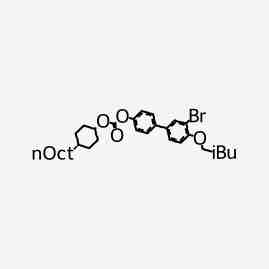 CCCCCCCC[C@H]1CC[C@H](OC(=O)Oc2ccc(-c3ccc(OCC(C)CC)c(Br)c3)cc2)CC1